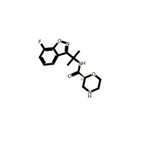 CC(C)(NC(=O)[C@@H]1CNCCO1)c1noc2c(F)cccc12